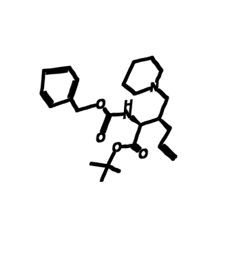 C=CC[C@H](CN1CCCCC1)[C@H](NC(=O)OCc1ccccc1)C(=O)OC(C)(C)C